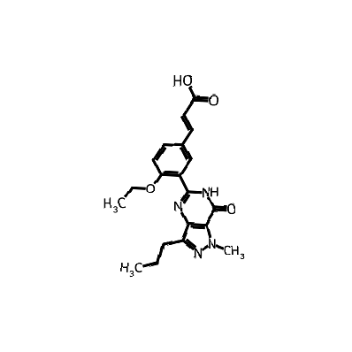 CCCc1nn(C)c2c(=O)[nH]c(-c3cc(/C=C/C(=O)O)ccc3OCC)nc12